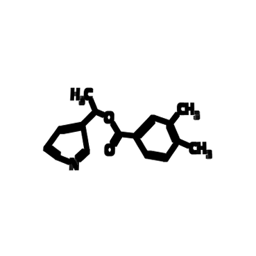 Cc1ccc(C(=O)OC(C)c2cccnc2)cc1C